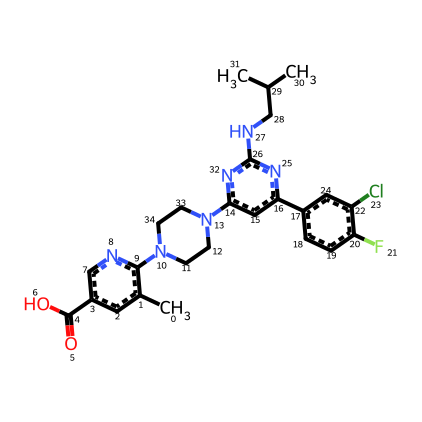 Cc1cc(C(=O)O)cnc1N1CCN(c2cc(-c3ccc(F)c(Cl)c3)nc(NCC(C)C)n2)CC1